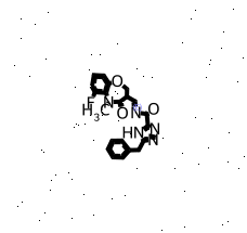 CN1C(=O)C(/C=N/C(=O)c2nnc(Cc3ccccc3)[nH]2)COc2cccc(F)c21